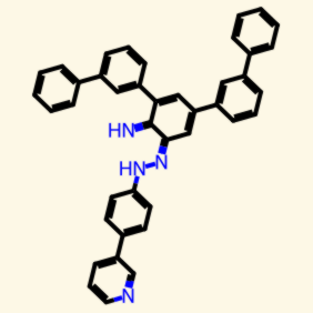 N=C1C(c2cccc(-c3ccccc3)c2)=CC(c2cccc(-c3ccccc3)c2)=C/C1=N/Nc1ccc(-c2cccnc2)cc1